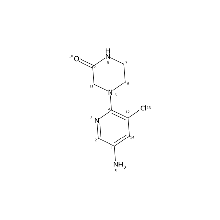 Nc1cnc(N2CCNC(=O)C2)c(Cl)c1